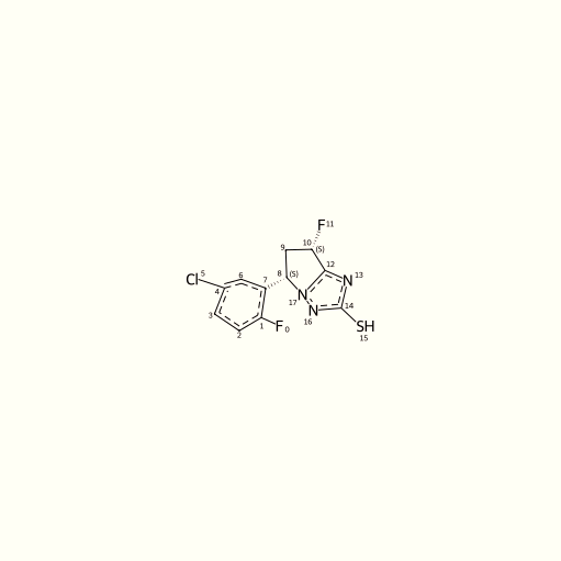 Fc1ccc(Cl)cc1[C@@H]1C[C@H](F)c2nc(S)nn21